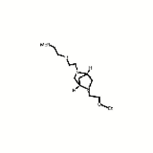 CCOCCN1C[C@@H]2C[C@H]1CN2CCOCCNC